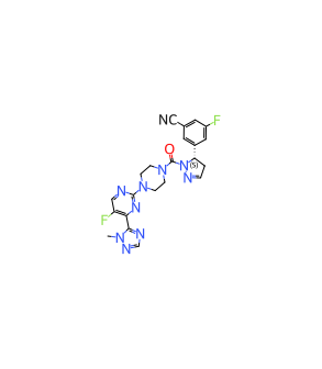 Cn1ncnc1-c1nc(N2CCN(C(=O)N3N=CC[C@H]3c3cc(F)cc(C#N)c3)CC2)ncc1F